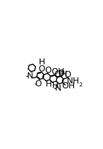 COc1c(CN(C)C2CCCCC2)cc(O)c2c1C[C@H]1C[C@H]3[C@H](N(C)C)C(O)=C(C(N)=O)C(=O)[C@@]3(O)C(O)=C1C2=O